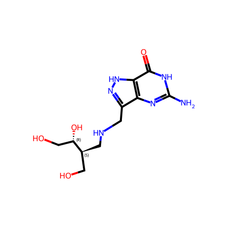 Nc1nc2c(CNC[C@@H](CO)[C@@H](O)CO)n[nH]c2c(=O)[nH]1